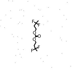 CC(F)(F)CCOC(=O)OCCC(C)(F)F